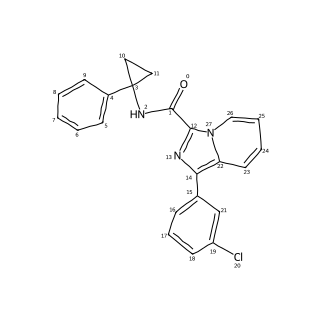 O=C(NC1(c2ccccc2)CC1)c1nc(-c2cccc(Cl)c2)c2ccccn12